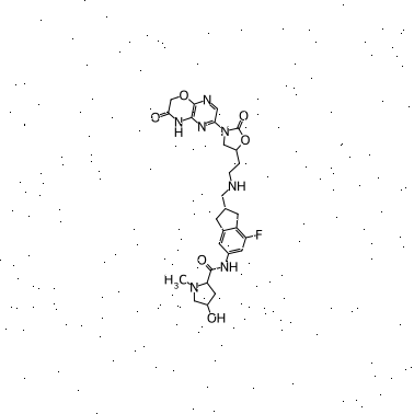 CN1CC(O)CC1C(=O)Nc1cc(F)c2c(c1)CC(CNCCC1CN(c3cnc4c(n3)NC(=O)CO4)C(=O)O1)C2